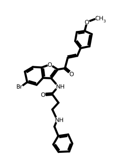 COc1ccc(/C=C/C(=O)c2oc3ccc(Br)cc3c2NC(=O)CCNCc2ccccc2)cc1